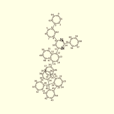 c1ccc(-c2cccc(-c3cc(-c4ccc(-c5cccc(-c6cccc7c6C(c6ccccc6)(c6ccccc6)c6ccccc6-7)c5)c5ccccc45)nc(-c4ccccc4)n3)c2)cc1